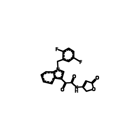 O=C1C=C(NC(=O)C(=O)c2cn(Cc3cc(F)ccc3F)c3ccccc23)CO1